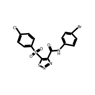 O=C(Nc1ccc(Br)cc1)c1nnsc1S(=O)(=O)c1ccc(Cl)cc1